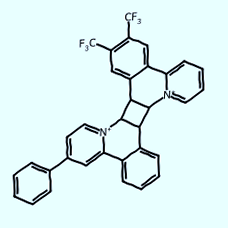 FC(F)(F)c1cc2c(cc1C(F)(F)F)C1C(C3c4ccccc4-c4cc(-c5ccccc5)cc[n+]4C31)[n+]1ccccc1-2